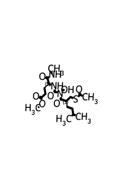 CNC(=O)[C@H](CCC(=O)OC)NC(=O)N(O)C(=O)[C@H](CCC(C)C)CSC(C)=O